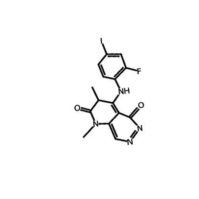 CC1C(=O)N(C)C2=CN=NC(=O)C2=C1Nc1ccc(I)cc1F